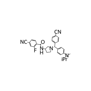 CC(C)N(C)c1ccc([C@@H](c2ccc(C#N)cc2)N2CCC(NC(=O)c3ccc(C#N)cc3F)C2)cc1